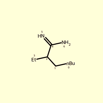 CCCCCC(CC)C(=N)N